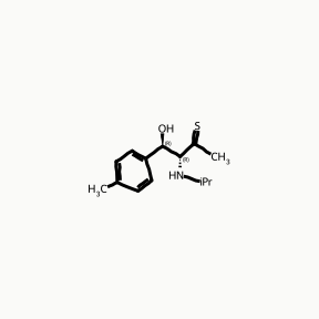 CC(=S)[C@H](NC(C)C)[C@H](O)c1ccc(C)cc1